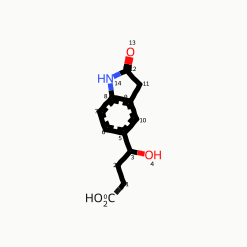 O=C(O)CCC(O)c1ccc2c(c1)CC(=O)N2